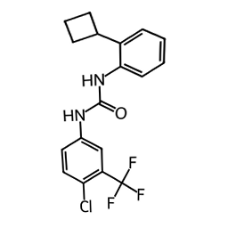 O=C(Nc1ccc(Cl)c(C(F)(F)F)c1)Nc1ccccc1C1CCC1